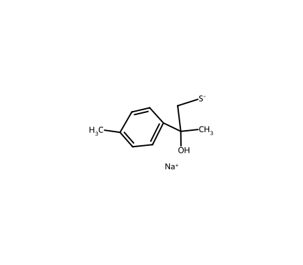 Cc1ccc(C(C)(O)C[S-])cc1.[Na+]